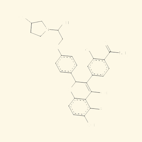 CC1=C(c2ccc(C(N)=O)c(Cl)c2)C(c2ccc(OCC(C)N3CCC(C)C3)cc2)Oc2ccc(O)c(F)c21